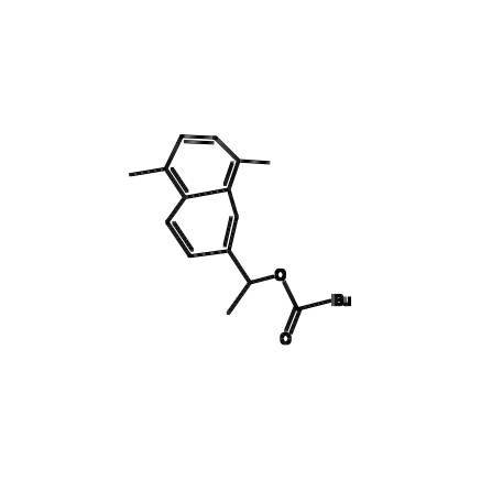 CCC(C)C(=O)OC(C)c1ccc2c(C)ccc(C)c2c1